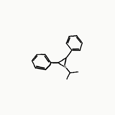 CC(C)N1C(c2ccccc2)C1c1ccccc1